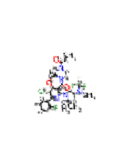 C=CC(=O)N1CCN2C(=O)c3c(N4C[C@@H](N(C)C(F)(F)F)CC4(C)C)nc(-c4ccccc4F)c(Cl)c3OC[C@H]2C1